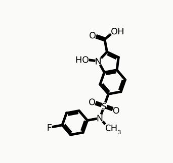 CN(c1ccc(F)cc1)S(=O)(=O)c1ccc2cc(C(=O)O)n(O)c2c1